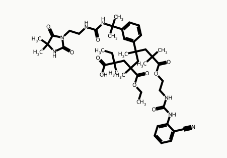 CCOC(=O)C(C)(CC(C)(CC)C(=O)O)CC(C)(CC(C)(C)C(=O)OCCNC(=O)Nc1ccccc1C#N)c1cccc(C(C)(C)NC(=O)NCCN2C(=O)NC(C)(C)C2=O)c1